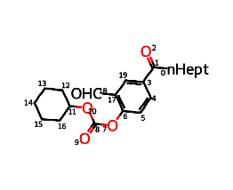 CCCCCCCC(=O)c1ccc(OC(=O)OC2CCCCC2)c(C=O)c1